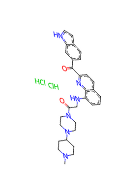 CN1CCC(N2CCN(C(=O)CNc3cccc4ccc(C(=O)c5ccc6cc[nH]c6c5)nc34)CC2)CC1.Cl.Cl